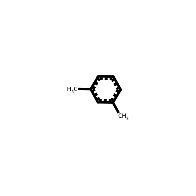 Cc1[c]ccc(C)c1